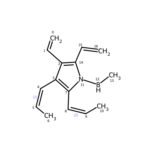 C=Cc1c(/C=C\C)c(/C=C\C)n(BC)c1C=C